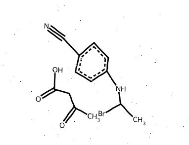 CC(=O)CC(=O)O.CC(Br)Nc1ccc(C#N)cc1